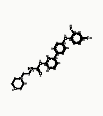 O=C(NCCN1CCOCC1)Oc1nccc(-c2ccc(Oc3ccc(F)cc3F)cc2)n1